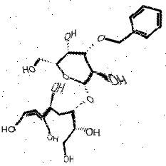 O/C=C(\O)[C@@H](O)[C@H](O[C@@H]1O[C@H](CO)[C@H](O)[C@H](OCc2ccccc2)[C@H]1O)[C@H](O)CO